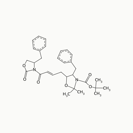 CC(C)(C)OC(=O)N1C(Cc2ccccc2)C(C/C=C/C(=O)N2C(=O)OCC2Cc2ccccc2)OC1(C)C